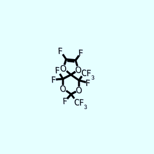 FC1=C(F)OC2(O1)C(F)(F)OC(F)(C(F)(F)F)OC2(F)C(F)(F)F